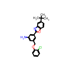 CC(C)(C)c1ccc2oc(-c3cc(N)cc(COc4ccccc4Cl)c3)nc2c1